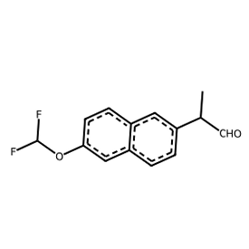 CC(C=O)c1ccc2cc(OC(F)F)ccc2c1